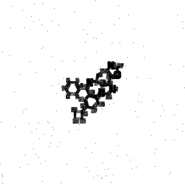 C[C@@H]1N=C(c2ccccc2)c2cc(C3CCC3)ccc2-n2cnc(-c3cnco3)c21